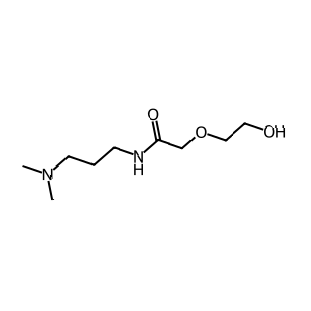 CN(C)CCCNC(=O)COCCO